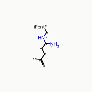 C=C(C)CCC(N)NCC(C)CCC